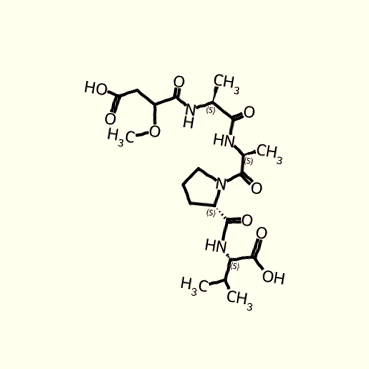 COC(CC(=O)O)C(=O)N[C@@H](C)C(=O)N[C@@H](C)C(=O)N1CCC[C@H]1C(=O)N[C@H](C(=O)O)C(C)C